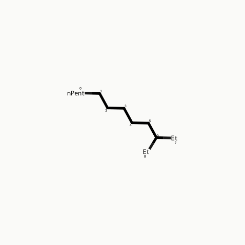 [CH2]CCCCCCCCCC(CC)CC